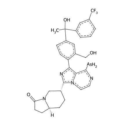 CC(O)(c1cccc(C(F)(F)F)c1)c1ccc(-c2nc([C@@H]3CC[C@H]4CCC(=O)N4C3)n3ccnc([AsH2])c23)c(CO)c1